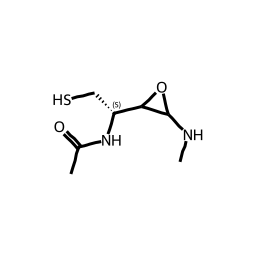 CNC1OC1[C@@H](CS)NC(C)=O